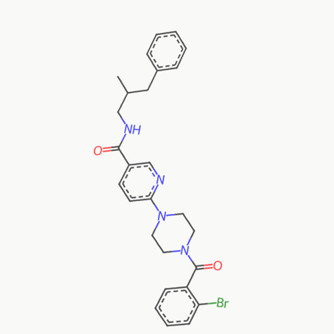 CC(CNC(=O)c1ccc(N2CCN(C(=O)c3ccccc3Br)CC2)nc1)Cc1ccccc1